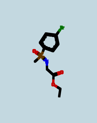 CCOC(=O)CN=S(C)(=O)c1ccc(Br)cc1